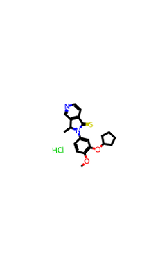 COc1ccc(N2C(=S)c3ccncc3C2C)cc1OC1CCCC1.Cl